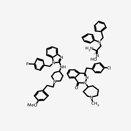 CN1CCCC(n2nc(Cc3ccc(Cl)cc3)c3ccccc3c2=O)CC1.COc1ccc(CCN2CCC(Nc3nc4ccccc4n3Cc3ccc(F)cc3)CC2)cc1.N/C(CN(Cc1ccccc1)c1ccccc1)=N\O